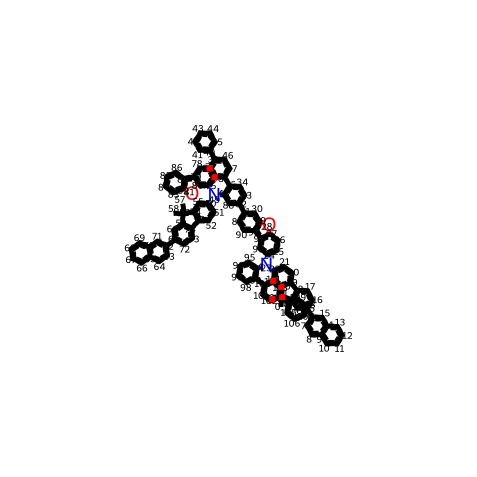 CC1(C)c2cc(-c3ccc4ccccc4c3)ccc2-c2ccc(N(c3ccc4oc5cc(-c6ccc(-c7ccc(-c8ccccc8)cc7)c(N(c7ccc8c(c7)C(C)(C)c7cc(-c9ccc%10ccccc%10c9)ccc7-8)c7cccc8c7oc7ccccc78)c6)ccc5c4c3)c3ccccc3-c3ccc(-c4ccccc4)cc3)cc21